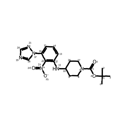 CC(C)(C)OC(=O)N1CCC(Nc2cccc(-n3cncn3)c2[N+](=O)[O-])CC1